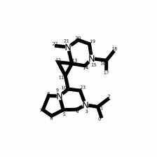 CC(C)N1CC2CCCN2C(C2CC23CN(C(C)C)CCN3C)C1